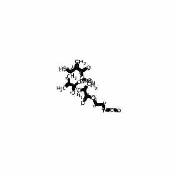 C=C(C)C(=O)OC.C=C(C)C(=O)OCCN=C=O.C=C(CS)C(=O)OCCCC